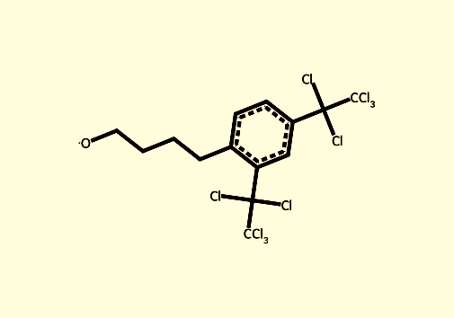 [O]CCCCc1ccc(C(Cl)(Cl)C(Cl)(Cl)Cl)cc1C(Cl)(Cl)C(Cl)(Cl)Cl